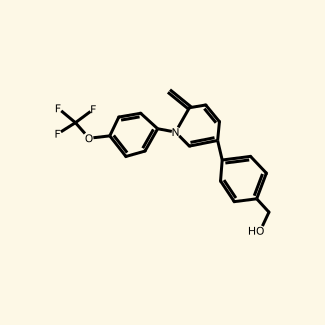 C=C1C=CC(c2ccc(CO)cc2)=CN1c1ccc(OC(F)(F)F)cc1